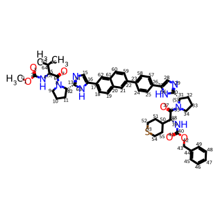 COC(=O)N[C@H](C(=O)N1CCC[C@H]1c1ncc(-c2ccc3cc(-c4ccc(-c5cnc([C@@H]6CCCN6C(=O)[C@H](NC(=O)OCc6ccccc6)C6CCSCC6)[nH]5)cc4)ccc3c2)[nH]1)C(C)C